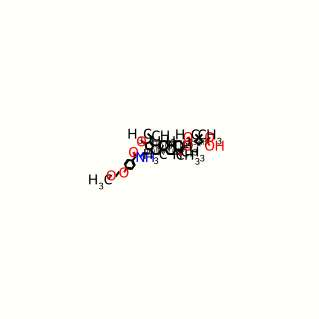 COCCOc1ccc(C(=O)NCC[C@@]23CC[C@]4(C)[C@H](CC[C@@H]5[C@@]6(C)CC[C@H](OC(=O)[C@H]7C[C@@H](C(=O)O)C7(C)C)C(C)(C)[C@@H]6CC[C@]54C)C2=C(C(C)C)C(=O)C3)cc1